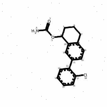 NC(=O)OC1CCCc2ccc(-c3ccccc3Cl)cc21